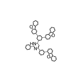 C1=C(c2cccc(-c3cccc4c3oc3ccccc34)c2)N=C(c2ccccc2)NC1c1cc(-c2ccc3oc4ccccc4c3c2)cc(-c2ccc3oc4ccccc4c3c2)c1